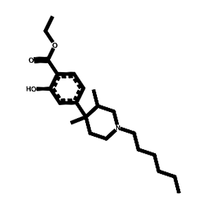 CCCCCCN1CCC(C)(c2ccc(C(=O)OCC)c(O)c2)C(C)C1